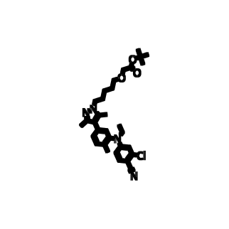 CCN(c1ccc(C#N)c(Cl)c1)c1cc(-c2c(C)nn(CCCCCOCC(=O)OC(C)(C)C)c2C)ccc1C